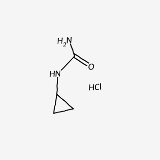 Cl.NC(=O)NC1CC1